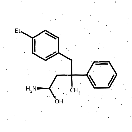 CCc1ccc(CC(C)(C[C@H](N)O)c2ccccc2)cc1